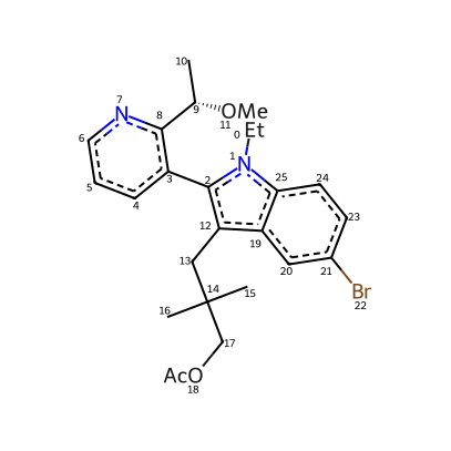 CCn1c(-c2cccnc2[C@H](C)OC)c(CC(C)(C)COC(C)=O)c2cc(Br)ccc21